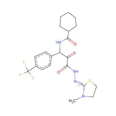 CN1CCS/C1=N\NC(=O)C(=O)C(NC(=O)C1CCCCC1)c1ccc(C(F)(F)F)cc1